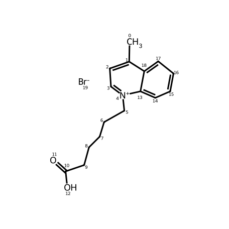 Cc1cc[n+](CCCCCC(=O)O)c2ccccc12.[Br-]